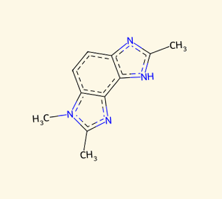 Cc1nc2ccc3c(nc(C)n3C)c2[nH]1